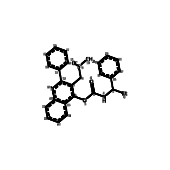 CCC(NC(=O)Oc1c(C[S+](C)[O-])c(-c2ccccc2)nc2ccccc12)c1ccccc1